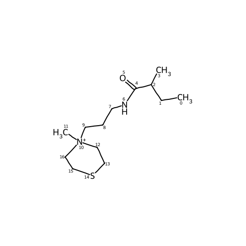 CCC(C)C(=O)NCCC[N+]1(C)CCSCC1